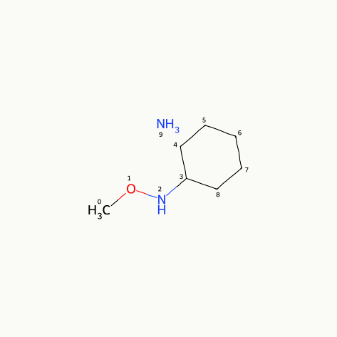 CONC1CCCCC1.N